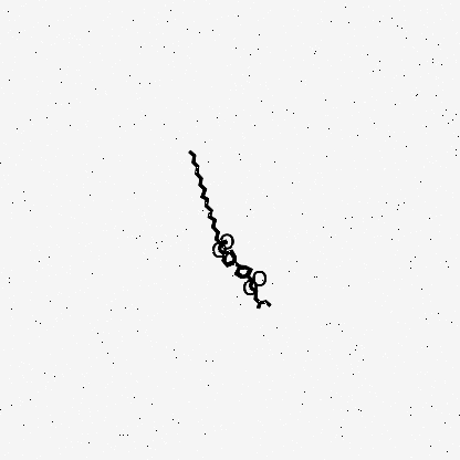 CCCCCCCCCCCCCCCCCC(=O)Oc1ccc(-c2ccc(C(=O)OCCC(C)CC)cc2)cc1